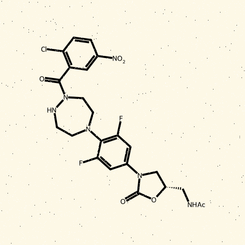 CC(=O)NC[C@H]1CN(c2cc(F)c(N3CCNN(C(=O)c4cc([N+](=O)[O-])ccc4Cl)CC3)c(F)c2)C(=O)O1